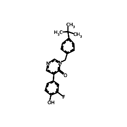 CC(C)(C)c1ccc(Cn2cncc(-c3ccc(O)c(F)c3)c2=O)cc1